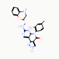 Cc1ccc(-n2c(=O)c3c[nH]nc3c3cnc(NC[C@H]4CN(C)c5ccccc5O4)nc32)c(Br)c1